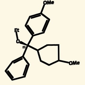 CCO[C@@](c1ccccc1)(c1ccc(OC)cc1)C1CCC(OC)CC1